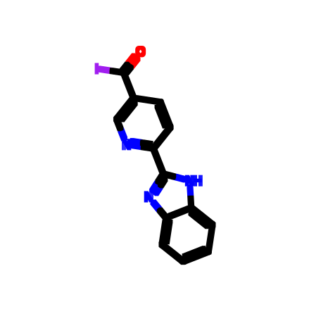 O=C(I)c1ccc(-c2nc3ccccc3[nH]2)nc1